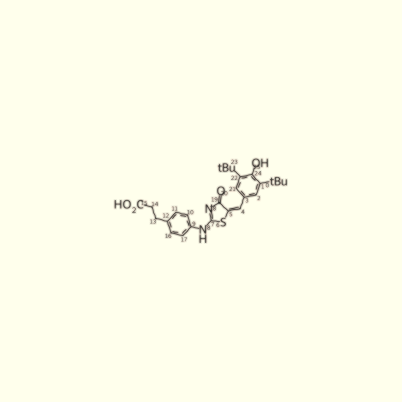 CC(C)(C)c1cc(C=C2SC(Nc3ccc(CCC(=O)O)cc3)=NC2=O)cc(C(C)(C)C)c1O